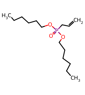 C=CCP(=O)(OCCCCCC)OCCCCCC